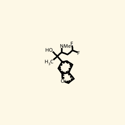 CNC(CC(F)F)C(C)(O)c1ccc2ccoc2c1